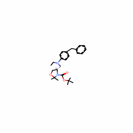 CCN(C[C@H]1COC(C)(C)N1C(=O)OC(C)(C)C)c1ccc(Cc2ccccc2)cc1